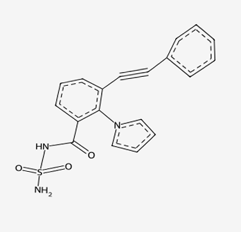 NS(=O)(=O)NC(=O)c1cccc(C#Cc2ccccc2)c1-n1cccc1